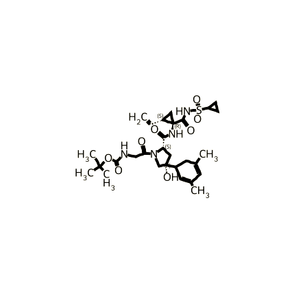 C=C[C@@H]1C[C@]1(NC(=O)[C@@H]1C[C@@](O)(C2C=C(C)C=C(C)C2)CN1C(=O)CNC(=O)OC(C)(C)C)C(=O)NS(=O)(=O)C1CC1